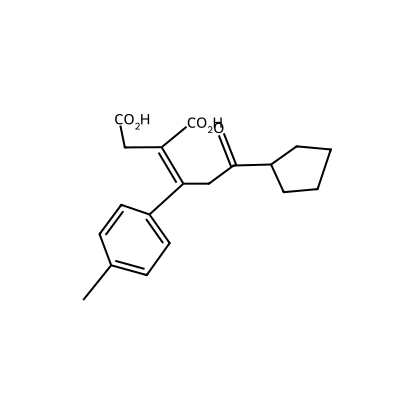 Cc1ccc(C(CC(=O)C2CCCC2)=C(CC(=O)O)C(=O)O)cc1